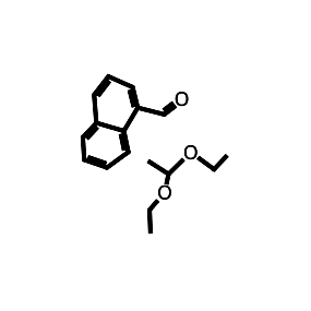 CCOC(C)OCC.O=Cc1cccc2ccccc12